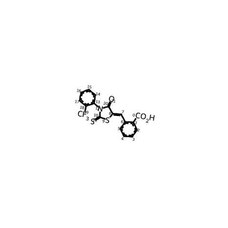 O=C(O)c1ccccc1C=C1SC(=S)N(c2ccccc2C(F)(F)F)C1=O